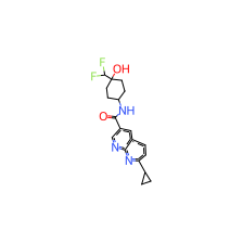 O=C(NC1CCC(O)(C(F)F)CC1)c1cnc2nc(C3CC3)ccc2c1